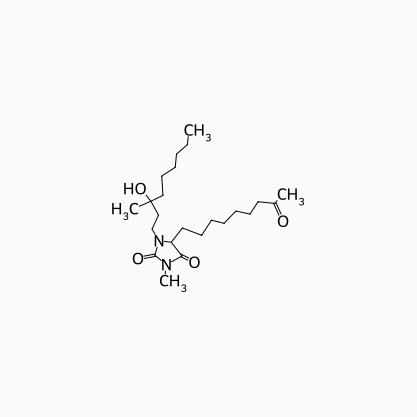 CCCCCCC(C)(O)CCN1C(=O)N(C)C(=O)C1CCCCCCCC(C)=O